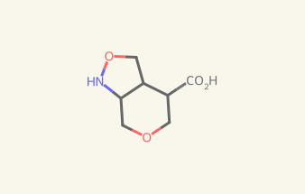 O=C(O)C1COCC2NOCC21